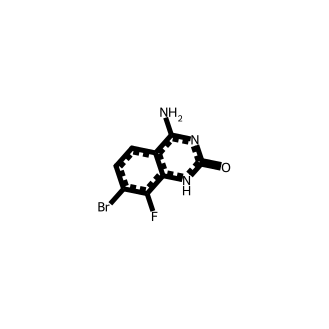 Nc1nc(=O)[nH]c2c(F)c(Br)ccc12